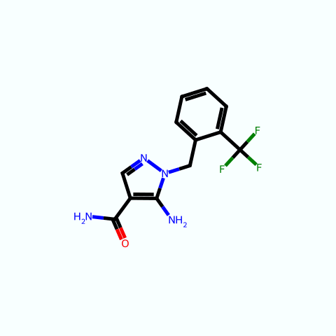 NC(=O)c1cnn(Cc2ccccc2C(F)(F)F)c1N